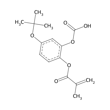 C=C(C)C(=O)Oc1ccc(OC(C)(C)C)cc1OC(=O)O